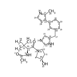 CC(=O)N[C@H](C(=O)N1C[C@H](O)C[C@H]1c1ncc(Cc2cccc(-c3scnc3C)c2)[nH]1)C(C)(C)C